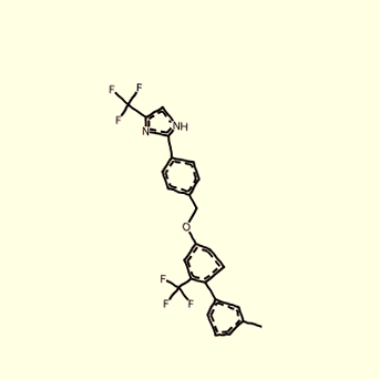 Cc1cccc(-c2ccc(OCc3ccc(-c4nc(C(F)(F)F)c[nH]4)cc3)cc2C(F)(F)F)c1